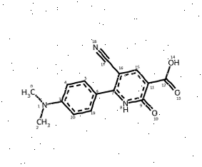 CN(C)c1ccc(-c2[nH]c(=O)c(C(=O)O)cc2C#N)cc1